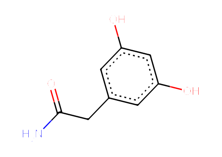 NC(=O)Cc1cc(O)cc(O)c1